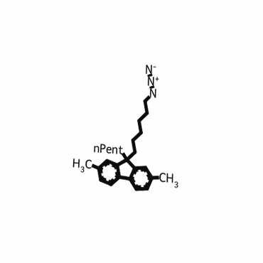 CCCCCC1(CCCCCCN=[N+]=[N-])c2cc(C)ccc2-c2ccc(C)cc21